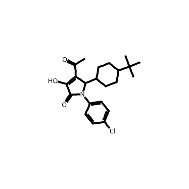 CC(=O)C1=C(O)C(=O)N(c2ccc(Cl)cc2)C1C1CCC(C(C)(C)C)CC1